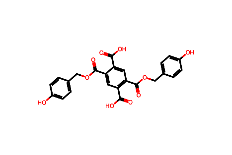 O=C(O)c1cc(C(=O)OCc2ccc(O)cc2)c(C(=O)O)cc1C(=O)OCc1ccc(O)cc1